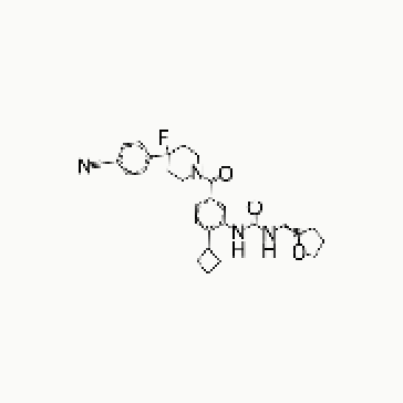 N#Cc1ccc(C2(F)CCN(C(=O)c3ccc(C4CCC4)c(NC(=O)NC[C@H]4CCCO4)c3)CC2)cc1